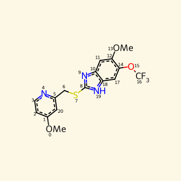 COc1ccnc(CSc2nc3cc(OC)c(OC(F)(F)F)cc3[nH]2)c1